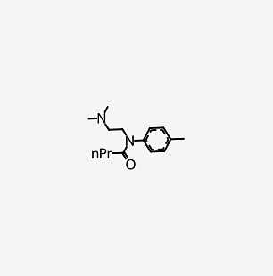 CCCC(=O)N(CCN(C)C)c1ccc(C)cc1